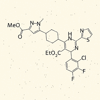 CCOC(=O)C1=C(C2CCC(c3cc(C(=O)OC)nn3C)CC2)NC(c2nccs2)=NC1c1ccc(F)c(F)c1Cl